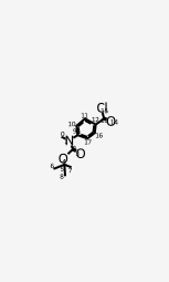 CN(C(=O)OC(C)(C)C)c1ccc(C(=O)Cl)cc1